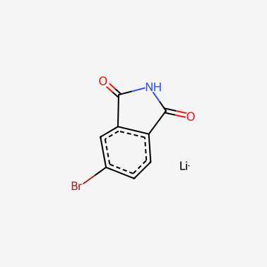 O=C1NC(=O)c2cc(Br)ccc21.[Li]